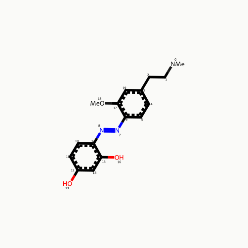 CNCCc1ccc(N=Nc2ccc(O)cc2O)c(OC)c1